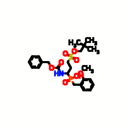 COc1ccccc1CP(=O)(O)C(CCS(=O)(=O)OCC(C)(C)C)NC(=O)OCc1ccccc1